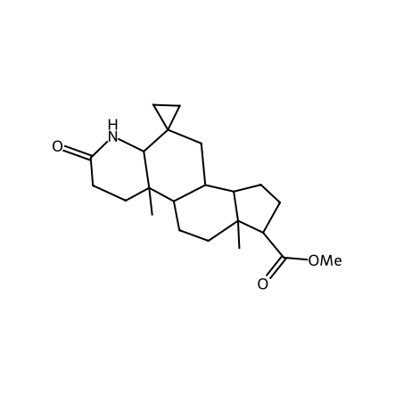 COC(=O)C1CCC2C3CC4(CC4)C4NC(=O)CCC4(C)C3CCC12C